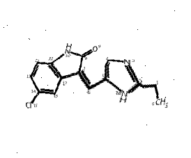 CCc1ncc(/C=C2\C(=O)Nc3ccc(Cl)cc32)[nH]1